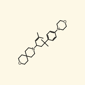 CC(C)=CC(CC(C)(C)c1ccc(N2CCOCC2)cc1)N1CCC2(CCOCC2)CC1